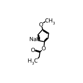 CCC(=O)Oc1ccc(OC)cc1.[NaH]